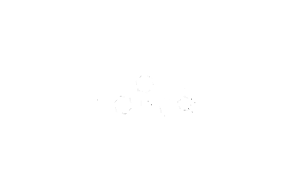 Cn1cc(OC(=O)Nc2ccccc2-c2cccc(Cl)c2)c(C(F)(F)F)n1